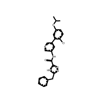 CC(C)Oc1ccc(Cl)c(-c2cncc(NC(=O)c3nnc(Cc4ccccc4)[nH]3)c2)c1